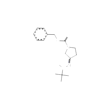 CC(C)(C)[S+]([O-])/N=C1/CCN(C(=O)OCc2ccccc2)C1